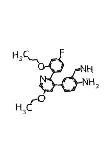 CCCOc1cc(F)ccc1-c1ncc(OCC)cc1-c1ccc(N)c(C=N)c1